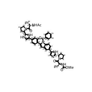 COC(=O)N[C@H](C(=O)N1CCC[C@H]1c1ncc(-c2ccc3c(c2)cc2n3[C@H](c3ccccc3)Oc3cc(C4=CNC(C5CCCN5C(=O)[C@@H](NC(C)=O)C(C)C)N4)ccc3-2)[nH]1)C(C)C